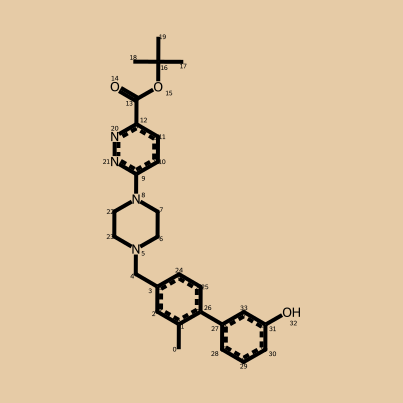 Cc1cc(CN2CCN(c3ccc(C(=O)OC(C)(C)C)nn3)CC2)ccc1-c1cccc(O)c1